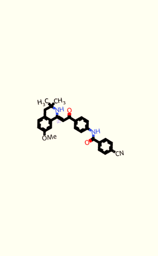 COc1ccc2c(c1)/C(=C/C(=O)c1ccc(NC(=O)c3ccc(C#N)cc3)cc1)NC(C)(C)C2